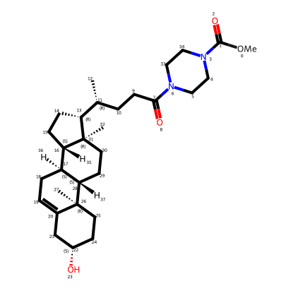 COC(=O)N1CCN(C(=O)CC[C@@H](C)[C@H]2CC[C@H]3[C@@H]4CC=C5C[C@@H](O)CC[C@]5(C)[C@H]4CC[C@]23C)CC1